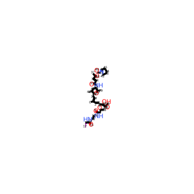 CC(C=C[C@H]1O[C@H](CC(=O)NCCNC(=O)CI)C[C@@]2(CO2)[C@@H]1O)=CC[C@@H]1O[C@H](C)[C@H](NC(=O)C=CC(C)OC(=O)N2CCCCC2)C[C@@H]1C